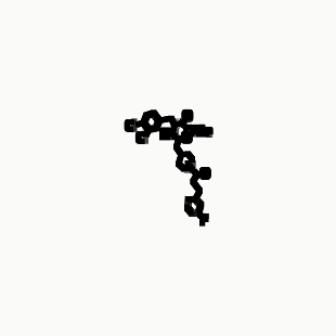 COC(=O)[C@H](Cc1ccc(Cl)c(Cl)c1)NC(=O)CC1CCN(C(=O)CCc2cccc(F)c2)CC1